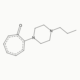 CCCN1CCN(c2cccccc2=O)CC1